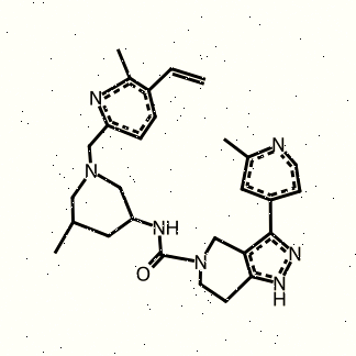 C=Cc1ccc(CN2CC(C)CC(NC(=O)N3CCc4[nH]nc(-c5ccnc(C)c5)c4C3)C2)nc1C